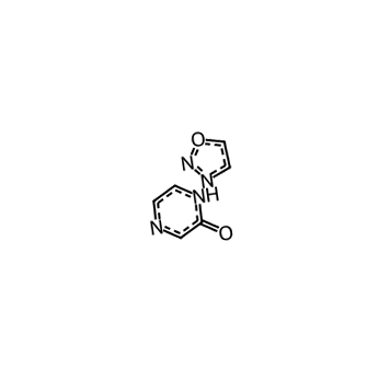 O=c1cncc[nH]1.c1conn1